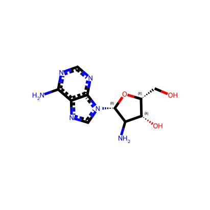 Nc1ncnc2c1ncn2[C@@H]1O[C@H](CO)[C@H](O)C1N